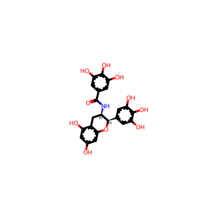 O=C(N[C@@H]1Cc2c(O)cc(O)cc2O[C@@H]1c1cc(O)c(O)c(O)c1)c1cc(O)c(O)c(O)c1